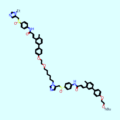 CCCCOCCOc1ccc(-c2ccc(C)c(/C=C/C(=O)Nc3ccc([S@@+]([O-])Cc4cncn4CCCCCCOCCOc4ccc(-c5ccc(C)c(/C=C/C(=O)Nc6ccc([S@+]([O-])Cc7cncn7CC)cc6)c5)cc4)cc3)c2)cc1